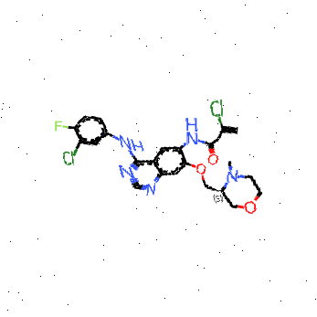 C=C(Cl)C(=O)Nc1cc2c(Nc3ccc(F)c(Cl)c3)ncnc2cc1OC[C@@H]1COCCN1C